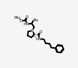 CCC(C)C(CN1CCC[C@H]1C(=O)NCCCCc1ccccc1)NC(=O)OC(C)(C)C